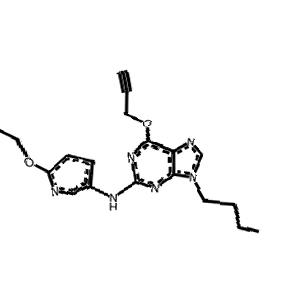 C#CCOc1nc(Nc2ccc(OCC)nc2)nc2c1ncn2CCCC